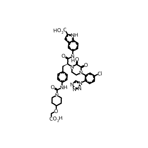 O=C(O)COC1CCN(C(=O)Nc2ccc(C[C@@H](C(=O)Nc3ccc4[nH]c(C(=O)O)cc4c3)N3CCN(c4cc(Cl)ccc4-n4cnnn4)C(=O)C3=O)cc2)CC1